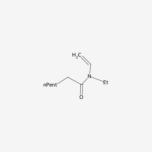 C=CN(CC)C(=O)CCCCCC